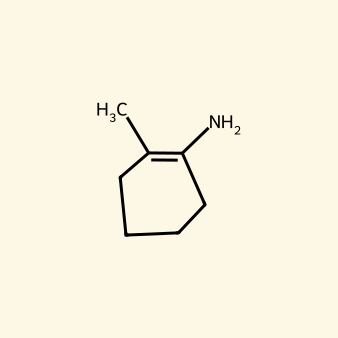 CC1=C(N)CCCC1